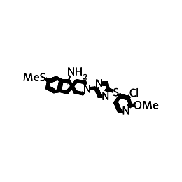 COc1nccc(Sc2cnc(N3CCC4(CC3)Cc3ccc(SC)cc3[C@H]4N)cn2)c1Cl